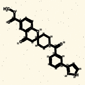 COC(=O)c1ccc2c(c1)C(=O)CC1(CCN(C(=O)c3cccc(-c4cc[nH]n4)c3)CC1)O2